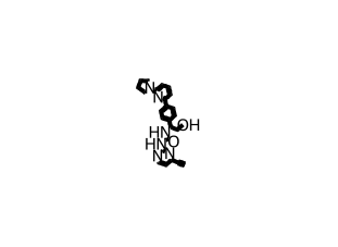 C#Cc1ccnc(NC(=O)NC(CO)c2ccc(-c3cccc(N4CCCC4)n3)cc2)n1